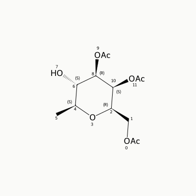 CC(=O)OC[C@H]1O[C@@H](C)[C@H](O)[C@@H](OC(C)=O)[C@H]1OC(C)=O